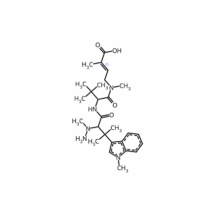 C/C(=C\CN(C)C(=O)C(NC(=O)C(N(C)N)C(C)(C)c1cn(C)c2ccccc12)C(C)(C)C)C(=O)O